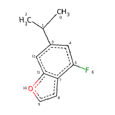 CC(C)c1cc(F)c2ccoc2c1